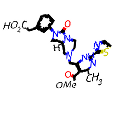 COC(=O)C1=C(CN2CCN3C(=O)N(c4cccc(CC(=O)O)c4)C[C@@H]3C2)NC(c2nccs2)=N[C@H]1C